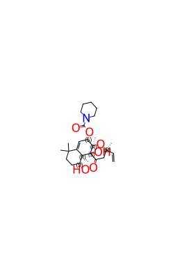 C=C[C@@]1(C)CC(=O)[C@@]2(O)[C@](C)(O1)[C@@H](OC(=O)N1CCCCC1)C=C1C(C)(C)CC[C@H](O)[C@@]12C